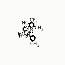 Cc1cccc(N(C)C(=O)[C@@H]2[C@@H](O)CCN2c2nc(C)cc(C(F)(F)F)c2C#N)c1